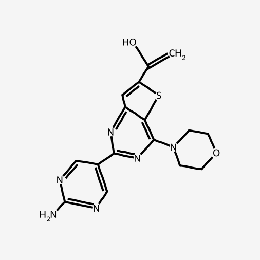 C=C(O)c1cc2nc(-c3cnc(N)nc3)nc(N3CCOCC3)c2s1